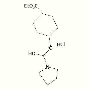 CCOC(=O)C1CCC(OC(O)N2CCCC2)CC1.Cl